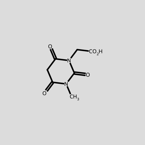 CN1C(=O)CC(=O)N(CC(=O)O)C1=O